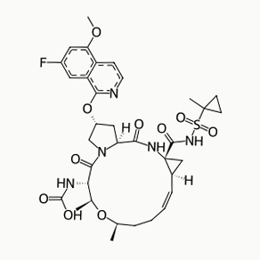 COc1cc(F)cc2c(O[C@@H]3C[C@H]4C(=O)N[C@]5(C(=O)NS(=O)(=O)C6(C)CC6)C[C@H]5/C=C\CC[C@@H](C)O[C@@H](C)[C@H](NC(=O)O)C(=O)N4C3)nccc12